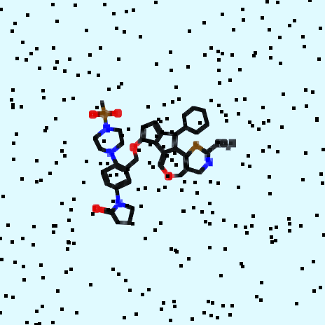 CS(=O)(=O)N1CCN(c2ccc(N3CCCC3=O)cc2COC2=CC=C3C(C4CCCCC4)=C4C(=COCC5=C4SC(C(=O)O)=NC5)C23)CC1